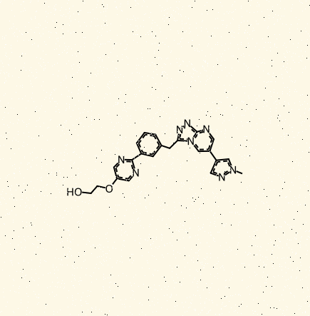 Cn1cc(-c2cnc3nnc(Cc4cccc(-c5ncc(OCCO)cn5)c4)n3c2)cn1